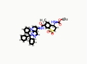 Cc1cc2c(cc1C(=O)Nc1ccnc3c1cnn3C(c1ccccc1)(c1ccccc1)c1ccccc1)S(=O)(=O)CC[C@@H]2NC(=O)OC(C)(C)C